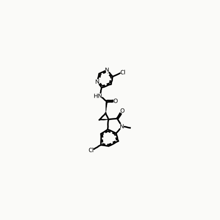 CN1C(=O)[C@]2(C[C@H]2C(=O)Nc2cc(Cl)ncn2)c2cc(Cl)ccc21